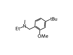 CCN(C)Cc1ccc(C(C)(C)C)cc1OC